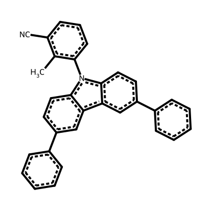 Cc1c(C#N)cccc1-n1c2ccc(-c3ccccc3)cc2c2cc(-c3ccccc3)ccc21